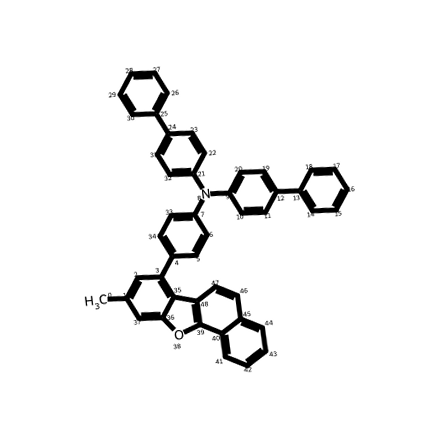 Cc1cc(-c2ccc(N(c3ccc(-c4ccccc4)cc3)c3ccc(-c4ccccc4)cc3)cc2)c2c(c1)oc1c3ccccc3ccc12